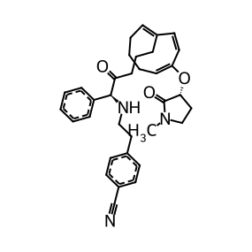 CN1CC[C@@H](OC2=C/CCC/C=C(CCCC(=O)[C@@H](NCCc3ccc(C#N)cc3)c3ccccc3)/C=C\2)C1=O